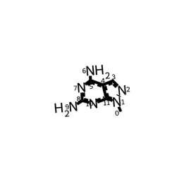 Cn1ncc2c(N)nc(N)nc21